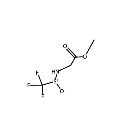 COC(=O)CN[S+]([O-])C(F)(F)F